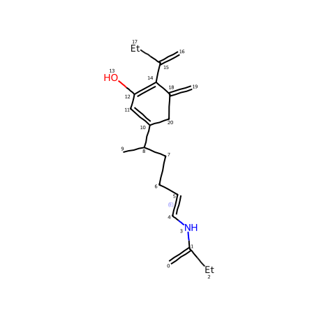 C=C(CC)N/C=C/CCC(C)C1=CC(O)=C(C(=C)CC)C(=C)C1